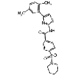 Cc1ccc(C)c(-c2csc(NC(=O)c3ccc(S(=O)(=O)N4CCCCC4)cc3)n2)c1